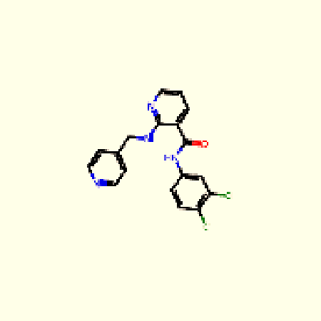 O=C(Nc1ccc(Cl)c(Cl)c1)c1cccnc1NCc1ccncc1